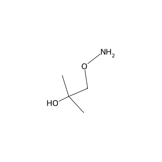 CC(C)(O)CON